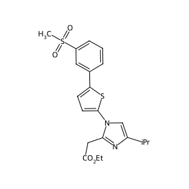 CCOC(=O)Cc1nc(C(C)C)cn1-c1ccc(-c2cccc(S(C)(=O)=O)c2)s1